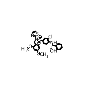 COc1ccc(CN(c2nccs2)S(=O)(=O)c2ccc(N[C@@H](CO)c3ccccc3)c(Cl)c2)c(OC)c1